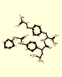 CC(C)CC(C(=O)NC(Cc1ccc(CCC(=O)O)cc1)C(=O)O)c1ccc(NC(=O)Nc2ccccc2)cc1